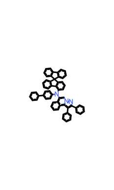 c1ccc(-c2ccc(N(c3cccc4c3-c3ccccc3C43c4ccccc4-c4ccccc43)c3cn4nc(-c5ccccc5)c(-c5ccccc5)c4c4ccccc34)cc2)cc1